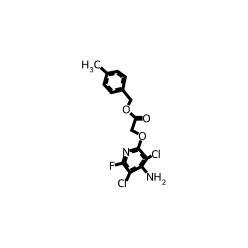 Cc1ccc(COC(=O)COc2nc(F)c(Cl)c(N)c2Cl)cc1